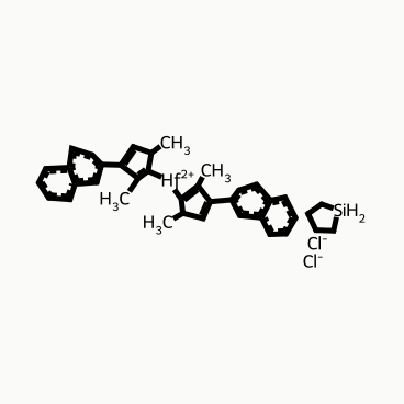 C1CC[SiH2]C1.CC1=[C]([Hf+2][C]2=C(C)C(c3ccc4ccccc4c3)=CC2C)C(C)C=C1c1ccc2ccccc2c1.[Cl-].[Cl-]